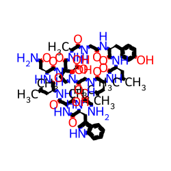 CC(C)C[C@H](NC(=O)[C@H](CC(C)C)NC(=O)[C@H](Cc1ccc(O)cc1)NC(=O)CNC(=O)[C@H](C)NC(=O)[C@H](CO)NC(=O)[C@H](CC(N)=O)NC(=O)[C@H](CC(C)C)NC(=O)[C@@H](NC(=O)[C@H](Cc1c[nH]c2ccccc12)NC(=O)CN)[C@@H](C)O)C(=O)NCC(=O)N1CCC[C@H]1C(=O)O